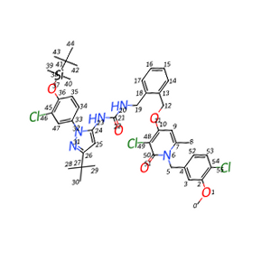 COc1cc(Cn2c(C)cc(OCc3ccccc3CNC(=O)Nc3cc(C(C)(C)C)nn3-c3ccc(O[Si](C)(C)C(C)(C)C)c(Cl)c3)c(Cl)c2=O)ccc1Cl